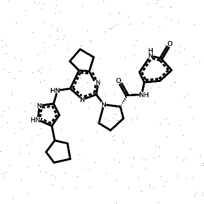 O=C(Nc1ccc(=O)[nH]c1)[C@@H]1CCCN1c1nc2c(c(Nc3cc(C4CCCC4)[nH]n3)n1)CCC2